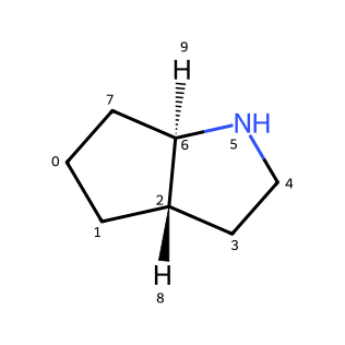 C1C[C@H]2CCN[C@@H]2C1